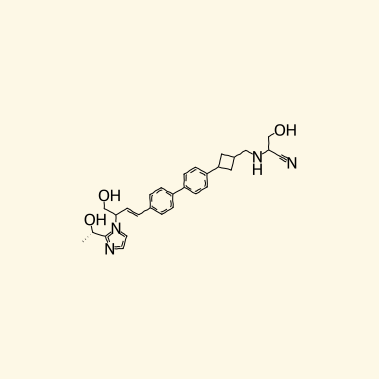 C[C@H](O)c1nccn1C(/C=C/c1ccc(-c2ccc(C3CC(CNC(C#N)CO)C3)cc2)cc1)CO